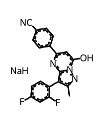 Cc1nn2c(O)cc(-c3ccc(C#N)cc3)nc2c1-c1ccc(F)cc1F.[NaH]